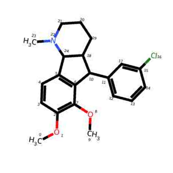 COc1ccc2c(c1OC)C(c1cccc(Cl)c1)C1CCCN(C)C21